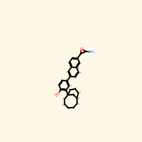 NC1OC1c1ccc2cc(-c3ccc(O)c(C45CCCCCC(CCC4)C5)c3)ccc2c1